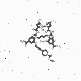 CCn1nc(C)cc1C(=O)Nc1nc2cc(C(N)=O)cc(OC)c2n1C/C=C/Cn1c(NC(=O)c2cc(C)nn2CC)nc2cc(C(N)=O)cc(OCC#CC3CCN(C(=O)OC(C)(C)C)CC3)c21